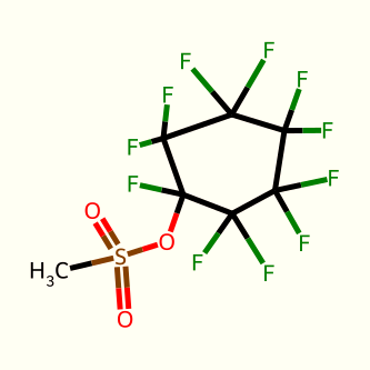 CS(=O)(=O)OC1(F)C(F)(F)C(F)(F)C(F)(F)C(F)(F)C1(F)F